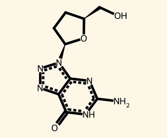 Nc1nc2c(nnn2[C@H]2CC[C@@H](CO)O2)c(=O)[nH]1